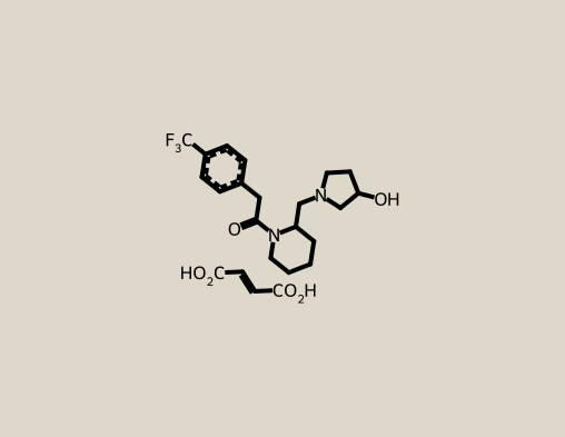 O=C(Cc1ccc(C(F)(F)F)cc1)N1CCCCC1CN1CCC(O)C1.O=C(O)C=CC(=O)O